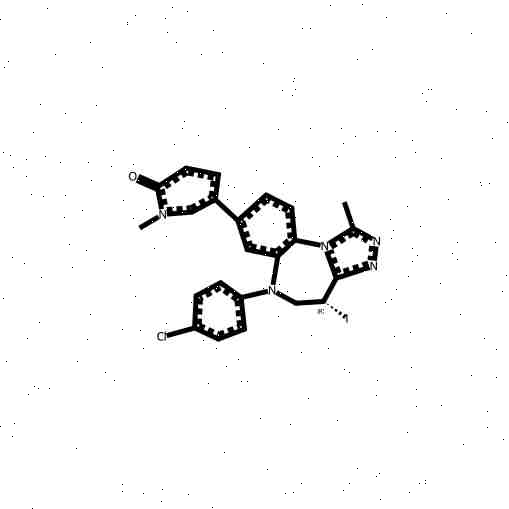 Cc1nnc2n1-c1ccc(-c3ccc(=O)n(C)c3)cc1N(c1ccc(Cl)cc1)C[C@H]2I